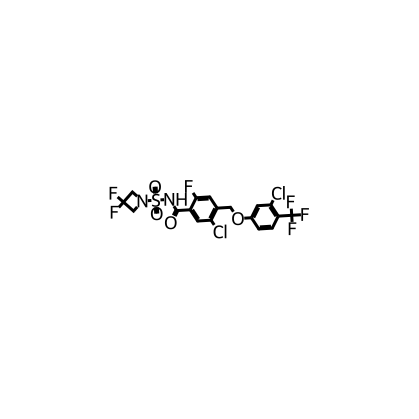 O=C(NS(=O)(=O)N1CC(F)(F)C1)c1cc(Cl)c(COc2ccc(C(F)(F)F)c(Cl)c2)cc1F